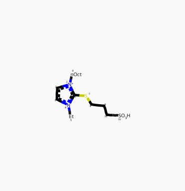 CCCCCCCC[n+]1ccn(CC)c1SCCCS(=O)(=O)O